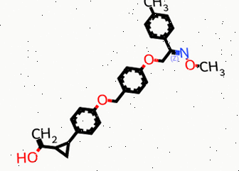 C=C(O)C1CC1c1ccc(OCc2ccc(OC/C(=N\OC)c3ccc(C)cc3)cc2)cc1